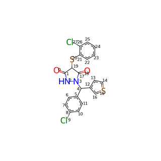 O=C1NN(C(c2ccc(Cl)cc2)c2ccsc2)C(=O)C1Sc1ccccc1Cl